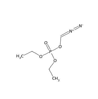 CCOP(=O)(OC=[N+]=[N-])OCC